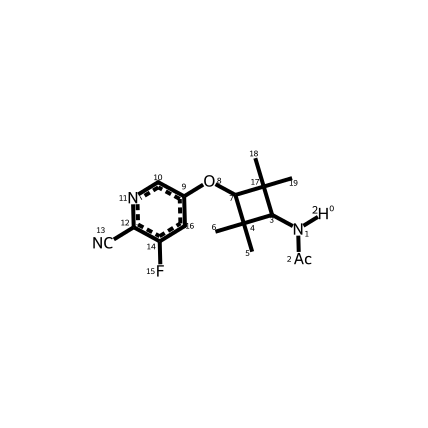 [2H]N(C(C)=O)C1C(C)(C)C(Oc2cnc(C#N)c(F)c2)C1(C)C